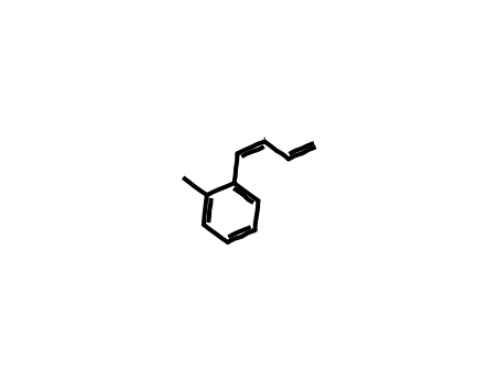 C=C/[C]=C\c1ccccc1C